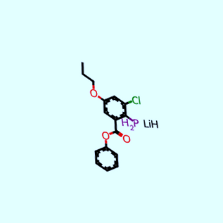 CCCOc1cc(Cl)c(P)c(C(=O)Oc2ccccc2)c1.[LiH]